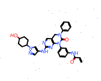 C=CC(=O)Nc1cccc(N2C(=O)N(c3ccccc3)Cc3cnc(Nc4cnn(C5CCC(O)CC5)c4)nc32)c1